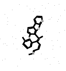 C/N=C/C=C\C(=C(/C)c1c(C)ccc2c1oc1ncccc12)c1cccc(C)c1